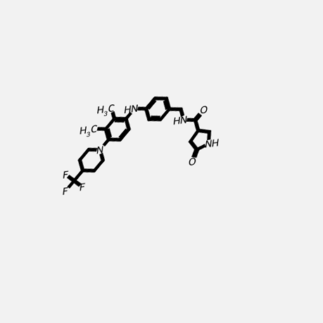 Cc1c(Nc2ccc(CNC(=O)C3CNC(=O)C3)cc2)ccc(N2CCC(C(F)(F)F)CC2)c1C